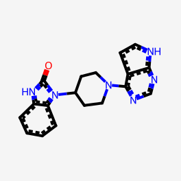 O=c1[nH]c2ccccc2n1C1CCN(c2ncnc3[nH]ccc23)CC1